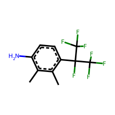 Cc1c(N)ccc(C(F)(C(F)(F)F)C(F)(F)F)c1C